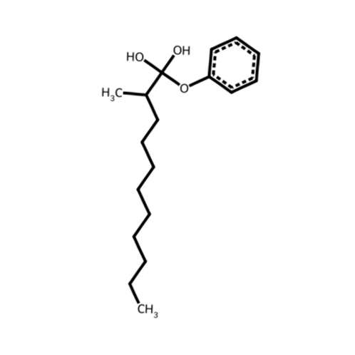 CCCCCCCCCC(C)C(O)(O)Oc1ccccc1